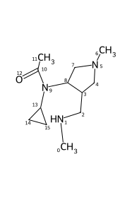 CNCC1CN(C)CC1N(C(C)=O)C1CC1